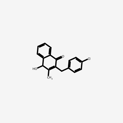 CC1=C(Cc2ccc(Cl)cc2)C(=O)c2ccccc2C1O